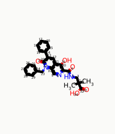 CC(C)(CNC(=O)c1ncc2c(cc(-c3ccccc3)c(=O)n2Cc2ccccc2)c1O)C(=O)O